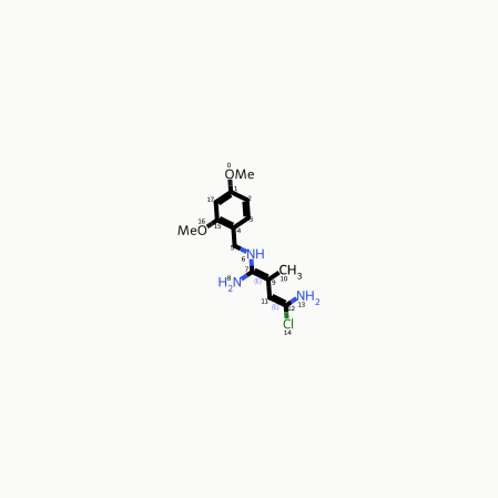 COc1ccc(CN/C(N)=C(C)/C=C(\N)Cl)c(OC)c1